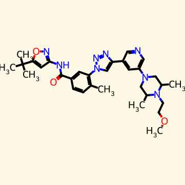 COCCN1C(C)CN(c2cncc(-c3cn(-c4cc(C(=O)Nc5cc(C(C)(C)C)on5)ccc4C)nn3)c2)CC1C